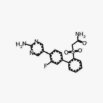 NC(=O)CS(=O)(=O)c1ccccc1-c1ccc(-c2cnc(N)nc2)c(F)c1